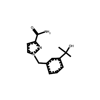 CC(C)(O)c1cccc(Cn2c[c]c(C(N)=O)n2)c1